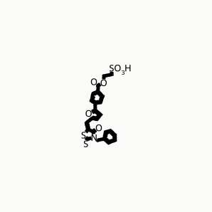 O=C(OCCS(=O)(=O)O)c1ccc(-c2ccc(/C=C3/SC(=S)N(Cc4ccccc4)C3=O)o2)cc1